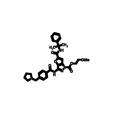 COCCOC(=O)n1nc(NC(=O)c2ccc(CN3CCCC3)cc2)c2oc(C(=O)NC(C)(C)c3ccccc3)cc21